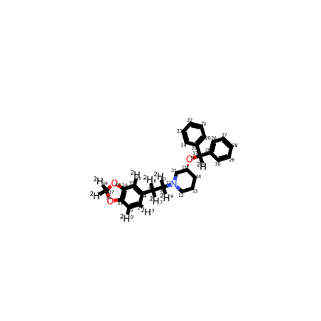 [2H]c1c([2H])c(C([2H])([2H])C([2H])([2H])N2CCC[C@@H](OC([2H])(c3ccccc3)c3ccccc3)C2)c([2H])c2c1OC([2H])([2H])O2